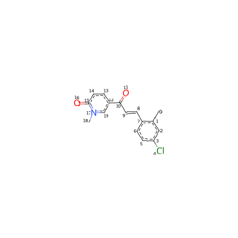 Cc1cc(Cl)ccc1C=CC(=O)c1ccc(=O)n(C)c1